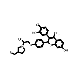 CC1=C(c2ccc(Cl)c(O)c2)C(c2ccc(OCC(C)N3CCC(CF)C3)cc2)Oc2cc(O)ccc21